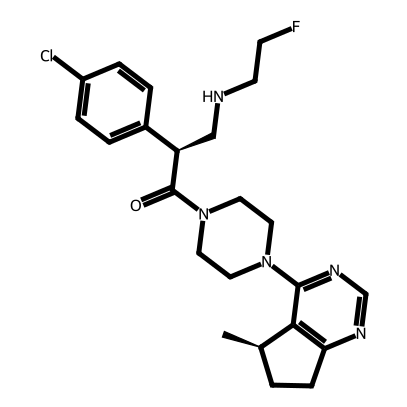 C[C@@H]1CCc2ncnc(N3CCN(C(=O)[C@H](CNCCF)c4ccc(Cl)cc4)CC3)c21